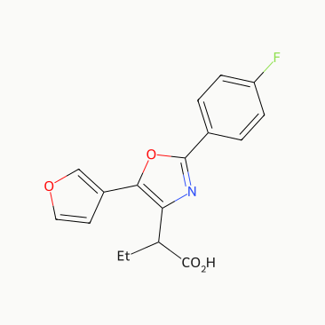 CCC(C(=O)O)c1nc(-c2ccc(F)cc2)oc1-c1ccoc1